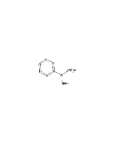 CSN(C(=O)O)c1ccccc1